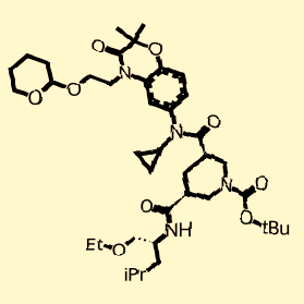 CCOC[C@@H](CC(C)C)NC(=O)[C@H]1C[C@@H](C(=O)N(c2ccc3c(c2)N(CCOC2CCCCO2)C(=O)C(C)(C)O3)C2CC2)CN(C(=O)OC(C)(C)C)C1